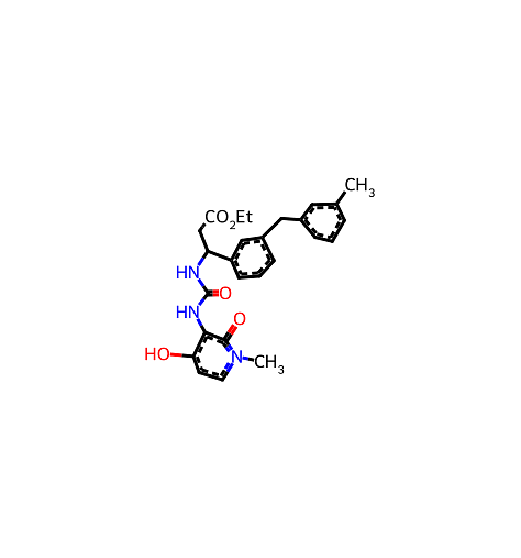 CCOC(=O)CC(NC(=O)Nc1c(O)ccn(C)c1=O)c1cccc(Cc2cccc(C)c2)c1